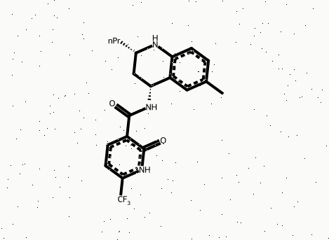 CCC[C@H]1C[C@@H](NC(=O)c2ccc(C(F)(F)F)[nH]c2=O)c2cc(C)ccc2N1